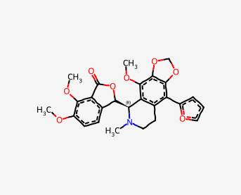 COc1ccc2c(c1OC)C(=O)OC2[C@H]1c2c(c(-c3ccco3)c3c(c2OC)OCO3)CCN1C